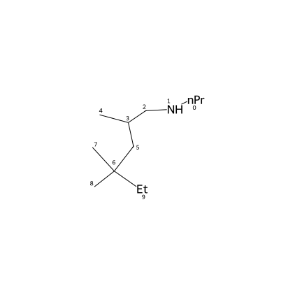 CCCNCC(C)CC(C)(C)CC